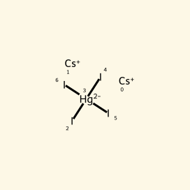 [Cs+].[Cs+].[I][Hg-2]([I])([I])[I]